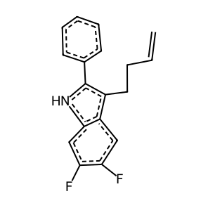 C=CCCc1c(-c2ccccc2)[nH]c2cc(F)c(F)cc12